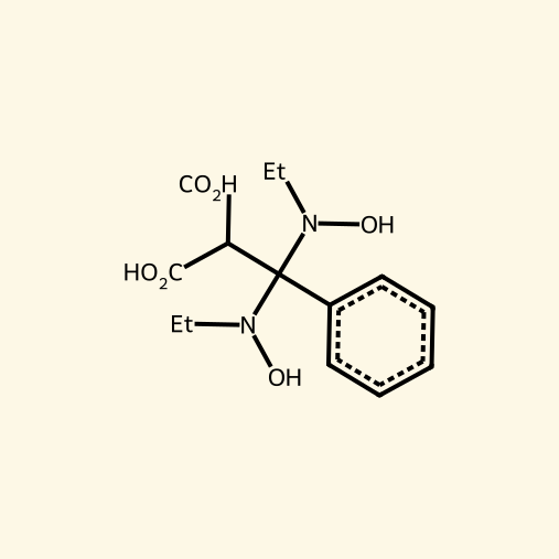 CCN(O)C(c1ccccc1)(C(C(=O)O)C(=O)O)N(O)CC